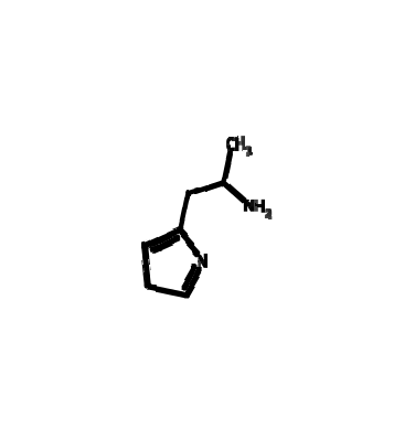 CC(N)CC1=CCC=N1